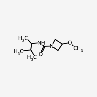 COC1CN(C(=O)NC(C)C(C)C)C1